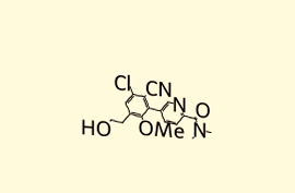 COc1c(CCO)cc(Cl)c(C#N)c1-c1ccc(C(=O)N(C)C)nc1